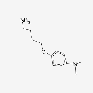 CN(C)c1ccc(OCCCCN)cc1